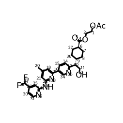 CC(=O)OCCOC(=O)[C@H]1CC[C@H](C(CO)c2ccc(-c3cc(C)cc(Nc4cc(C(F)F)ccn4)n3)cn2)CC1